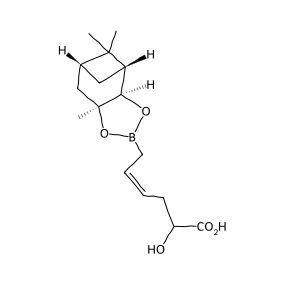 CC1(C)[C@@H]2C[C@H]1[C@H]1OB(C/C=C\CC(O)C(=O)O)O[C@@]1(C)C2